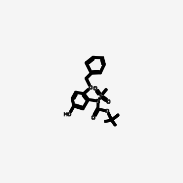 CC(C)(C)OC(=O)N(c1cc(O)ccc1OCc1ccccc1)S(C)(=O)=O